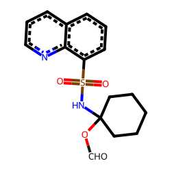 O=COC1(NS(=O)(=O)c2cccc3cccnc23)CCCCC1